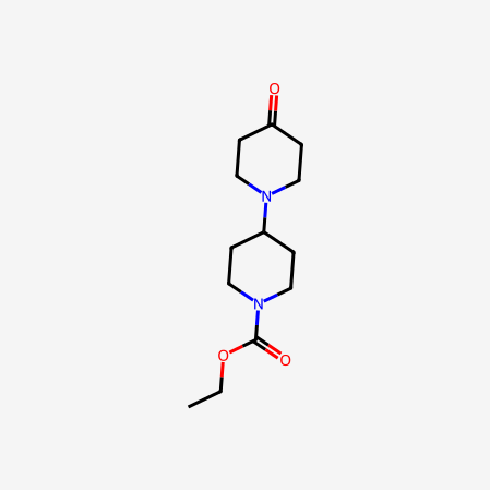 CCOC(=O)N1CCC(N2CCC(=O)CC2)CC1